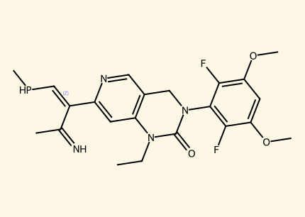 CCN1C(=O)N(c2c(F)c(OC)cc(OC)c2F)Cc2cnc(/C(=C/PC)C(C)=N)cc21